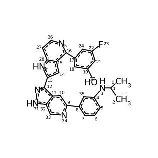 CC(C)Nc1cccc(-c2cc3c(-c4cc5c(-c6cc(O)cc(F)c6)nccc5[nH]4)n[nH]c3cn2)c1